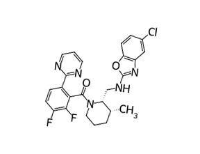 C[C@@H]1CCCN(C(=O)c2c(-c3ncccn3)ccc(F)c2F)[C@@H]1CNc1nc2cc(Cl)ccc2o1